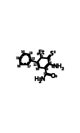 CCC1C(=S)C(N)=C(C(N)=O)C=C1c1ccccc1